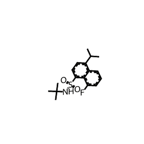 CC(C)c1ccc(S(=O)(=O)NC(C)(C)C)c2c(F)cccc12